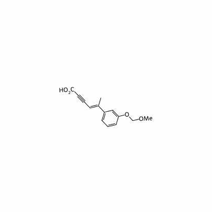 COCOc1cccc(C(C)=CC#CC(=O)O)c1